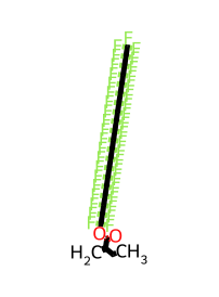 C=C(CC)C(=O)OC(F)(F)C(F)(F)C(F)(F)C(F)(F)C(F)(F)C(F)(F)C(F)(F)C(F)(F)C(F)(F)C(F)(F)C(F)(F)C(F)(F)C(F)(F)C(F)(F)C(F)(F)C(F)(F)C(F)(F)C(F)(F)C(F)(F)C(F)(F)F